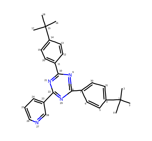 CC(C)(C)c1ccc(-c2nc(-c3ccc(C(C)(C)C)cc3)nc(-c3cccnc3)n2)cc1